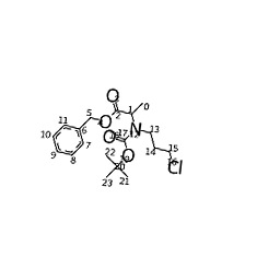 CC(C(=O)OCc1ccccc1)N(CCCCl)C(=O)OC(C)(C)C